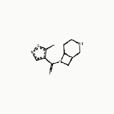 Cc1oncc1C(=O)N1CC2CNCCC21